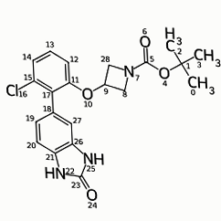 CC(C)(C)OC(=O)N1CC(Oc2cccc(Cl)c2-c2ccc3[nH]c(=O)[nH]c3c2)C1